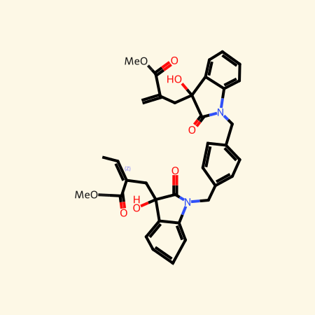 C=C(CC1(O)C(=O)N(Cc2ccc(CN3C(=O)C(O)(C/C(=C/C)C(=O)OC)c4ccccc43)cc2)c2ccccc21)C(=O)OC